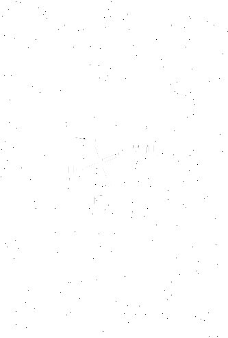 O=P(O)(OF)OCl.[MgH2]